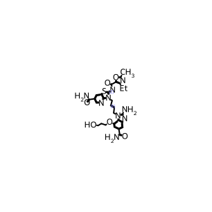 CCc1nc(C)oc1C(=O)/N=c1\sc2cc(C(N)=O)cnc2n1C/C=C/Cn1c(N)nc2cc(C(N)=O)cc(OCCCO)c21